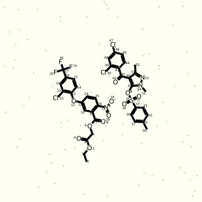 CCOC(=O)COC(=O)c1cc(Oc2ccc(C(F)(F)F)cc2Cl)ccc1[N+](=O)[O-].Cc1ccc(S(=O)(=O)Oc2c(C(=O)c3ccc(Cl)cc3Cl)c(C)nn2C)cc1